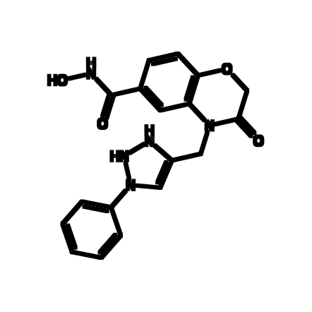 O=C(NO)c1ccc2c(c1)N(CC1=CN(c3ccccc3)NN1)C(=O)CO2